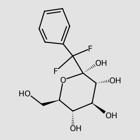 OC[C@H]1O[C@@](O)(C(F)(F)c2ccccc2)[C@H](O)[C@@H](O)[C@@H]1O